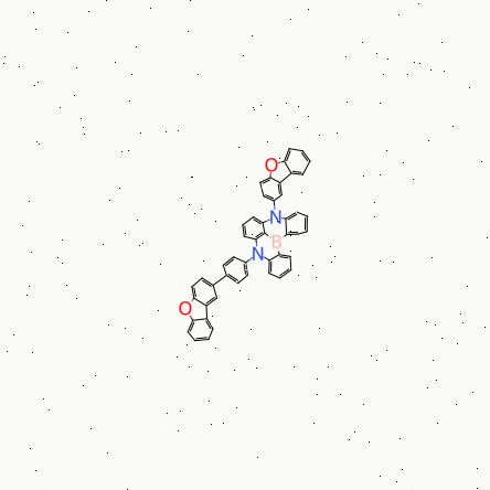 c1ccc2c(c1)B1c3ccccc3N(c3ccc4oc5ccccc5c4c3)c3cccc(c31)N2c1ccc(-c2ccc3oc4ccccc4c3c2)cc1